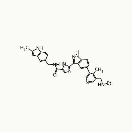 CCNCc1cncc(-c2ccc3[nH]nc(-c4ncc(C(=O)NCc5ccc6[nH]c(C)cc6c5)[nH]4)c3c2)c1C